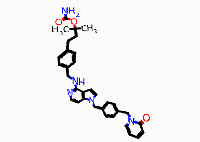 CC(C)(CCc1ccc(CNc2nccc3c2ccn3Cc2ccc(Cn3ccccc3=O)cc2)cc1)OC(N)=O